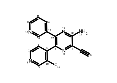 C#Cc1nc(-c2ccncc2F)c(-c2cccnc2)nc1N